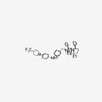 CCC1(CC)CCC(=O)N1C(=O)NCc1ccc(Nc2ccc(N3CCC(C(F)(F)F)CC3)cc2)cc1